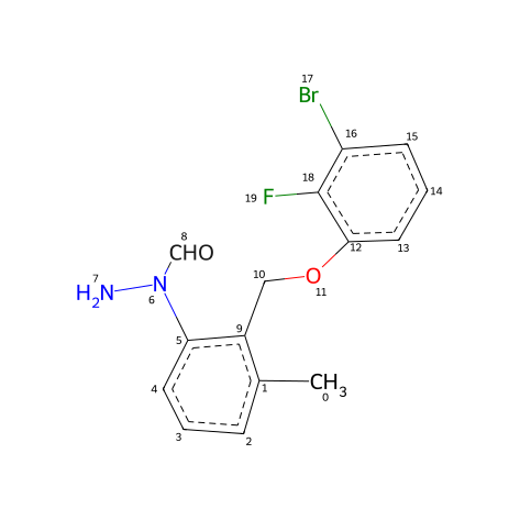 Cc1cccc(N(N)C=O)c1COc1cccc(Br)c1F